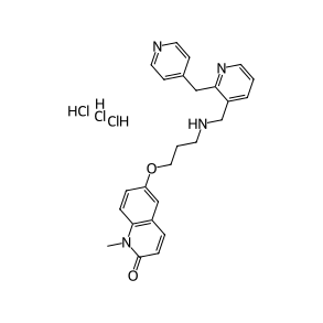 Cl.Cl.Cl.Cn1c(=O)ccc2cc(OCCCNCc3cccnc3Cc3ccncc3)ccc21